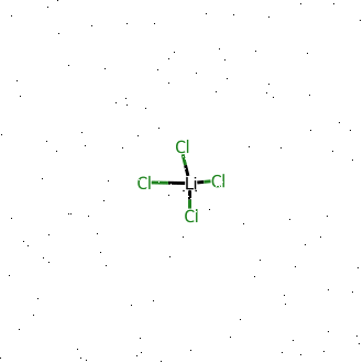 [Cl][Li]([Cl])([Cl])[Cl]